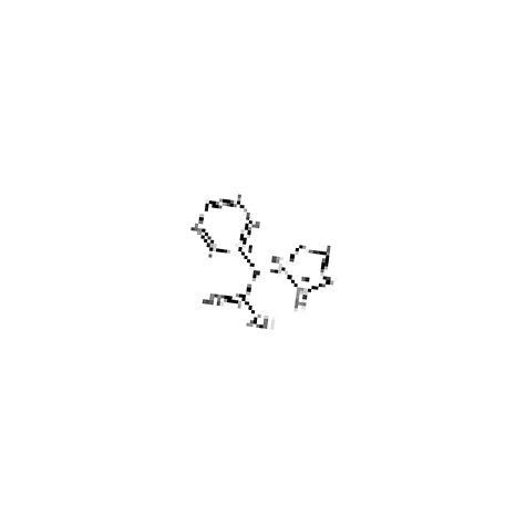 O=C(O)C(c1ccccc1)N1CC=CN1